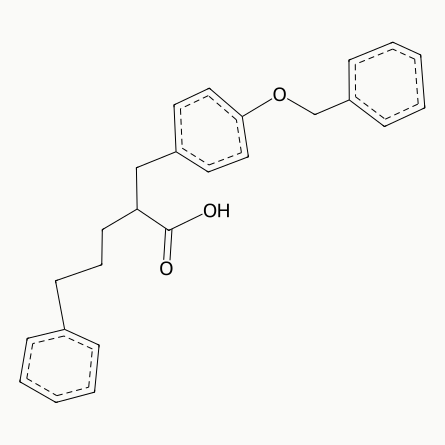 O=C(O)C(CCCc1ccccc1)Cc1ccc(OCc2ccccc2)cc1